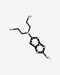 Nc1nc2sc(N(CCO)CCO)cc2o1